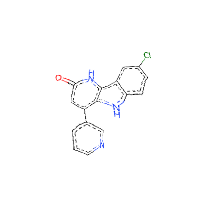 O=c1cc(-c2cccnc2)c2[nH]c3ccc(Cl)cc3c2[nH]1